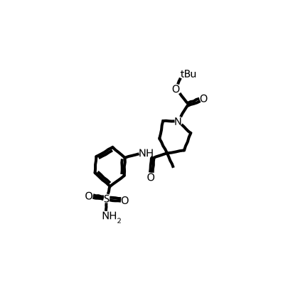 CC(C)(C)OC(=O)N1CCC(C)(C(=O)Nc2cccc(S(N)(=O)=O)c2)CC1